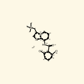 C[N+](C)(C)Cc1cnc2c(NC(=O)c3c(Cl)cccc3Cl)cccn12.[I-]